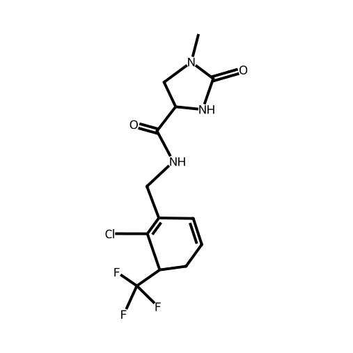 CN1CC(C(=O)NCC2=C(Cl)C(C(F)(F)F)CC=C2)NC1=O